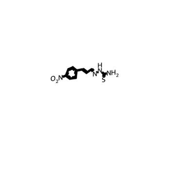 NC(=S)NN=CC=Cc1ccc([N+](=O)[O-])cc1